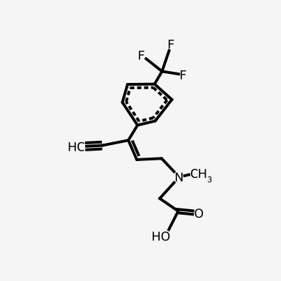 C#C/C(=C/CN(C)CC(=O)O)c1ccc(C(F)(F)F)cc1